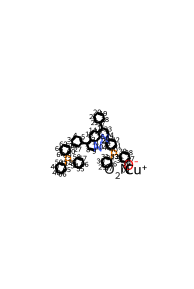 O=[N+]([O-])[O-].[Cu+].c1ccc(-c2ccnc3c2ccc2c(-c4ccccc4)ccnc23)cc1.c1ccc(P(c2ccccc2)c2ccccc2)cc1.c1ccc(P(c2ccccc2)c2ccccc2)cc1